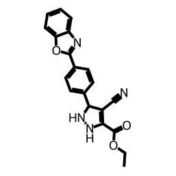 CCOC(=O)C1=C(C#N)C(c2ccc(-c3nc4ccccc4o3)cc2)NN1